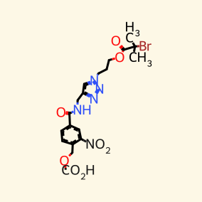 CC(C)(Br)C(=O)OCCCn1cc(CNC(=O)c2ccc(COC(=O)O)c([N+](=O)[O-])c2)nn1